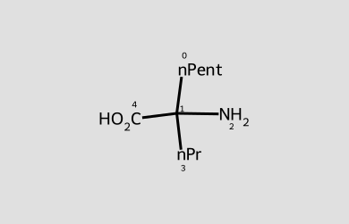 CCCCCC(N)(CCC)C(=O)O